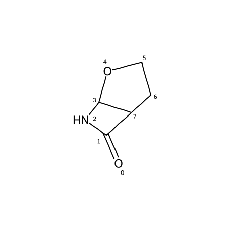 O=C1NC2OCCC12